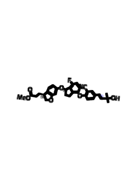 COC(=O)CC[C@@H]1COc2cc(O[C@@H]3CCc4c(Oc5ccc(/C=C/C(C)(C)O)cc5C#N)ccc(F)c43)ccc21